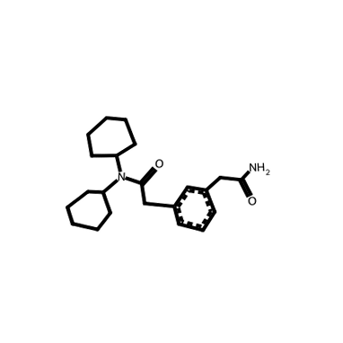 NC(=O)Cc1cccc(CC(=O)N(C2CCCCC2)C2CCCCC2)c1